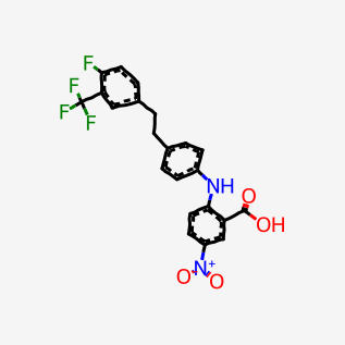 O=C(O)c1cc([N+](=O)[O-])ccc1Nc1ccc(CCc2ccc(F)c(C(F)(F)F)c2)cc1